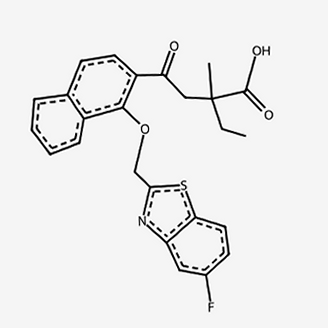 CCC(C)(CC(=O)c1ccc2ccccc2c1OCc1nc2cc(F)ccc2s1)C(=O)O